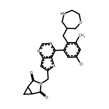 Cc1cc(Cl)cc(-c2ncnc3cc(CN4C(=O)C5CC5C4=O)sc23)c1CC1CNCCOC1